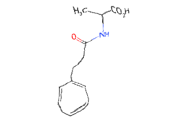 CC(NC(=O)CCc1ccccc1)C(=O)O